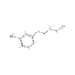 CC(C)CSCCc1ccnc(C(C)(C)C)n1